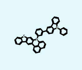 c1ccc(-n2c3ccccc3c3cc(-c4cccc(N5c6cc7sc8ccccc8c7cc6-c6cccc7cccc5c67)c4)ccc32)cc1